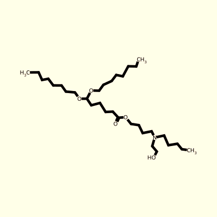 CCCCCCCCOC(CCCCC(=O)OCCCCN(CCO)CCCCC)OCCCCCCCC